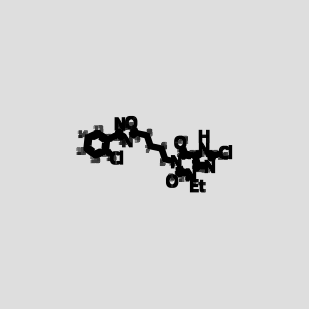 CCn1c(=O)n(CCCCc2nc(-c3ccccc3Cl)no2)c(=O)c2[nH]c(Cl)nc21